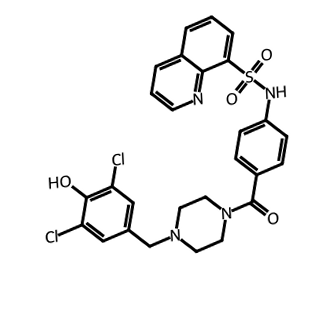 O=C(c1ccc(NS(=O)(=O)c2cccc3cccnc23)cc1)N1CCN(Cc2cc(Cl)c(O)c(Cl)c2)CC1